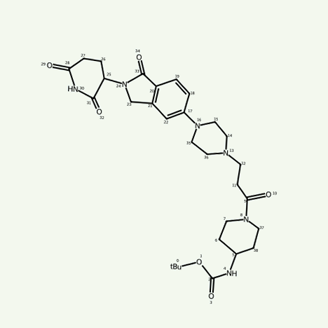 CC(C)(C)OC(=O)NC1CCN(C(=O)CCN2CCN(c3ccc4c(c3)CN(C3CCC(=O)NC3=O)C4=O)CC2)CC1